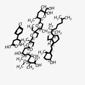 C=C1CC[C@H](O)C/C1=C/C=C1\CCC[C@]2(C)[C@@H]([C@H](C)CCCC(C)C)CC[C@@H]12.CC[C@@]1([C@@H]2O[C@@H]([C@H]3O[C@@](O)(CO)[C@H](C)C[C@@H]3C)C[C@@H]2C)CC[C@H]([C@]2(C)CC[C@]3(C[C@H](O)[C@@H](C)[C@@H]([C@@H](C)[C@@H](OC)[C@H](C)C(=O)O)O3)O2)O1.NCC(CC(=O)O)c1ccc(Cl)cc1